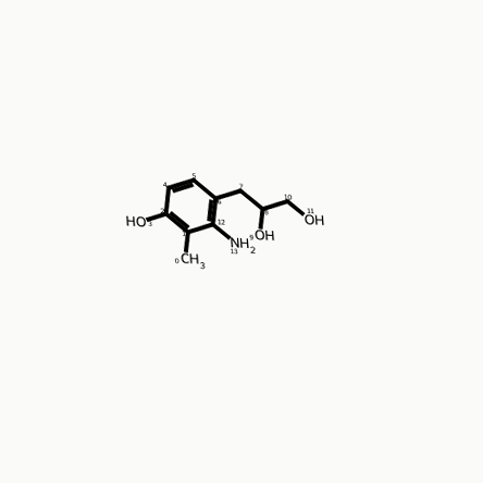 Cc1c(O)ccc(CC(O)CO)c1N